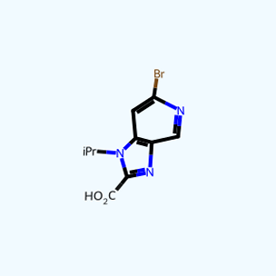 CC(C)n1c(C(=O)O)nc2cnc(Br)cc21